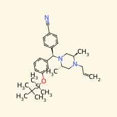 C=CCN1C[C@H](C)N([C@H](c2ccc(C#N)cc2)c2cccc(O[Si](C)(C)C(C)(C)C)c2)C[C@H]1C